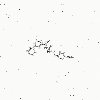 COc1ccc(CCNC(=O)NC(=O)c2cccc(-c3ccncc3)c2)cc1